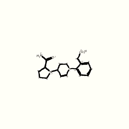 NC(=O)C1[CH]CCN1C1CCN(c2ccccc2CC(=O)O)CC1